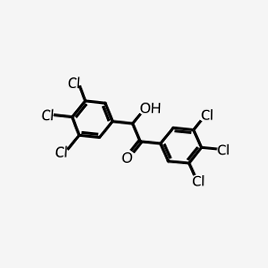 O=C(c1cc(Cl)c(Cl)c(Cl)c1)C(O)c1cc(Cl)c(Cl)c(Cl)c1